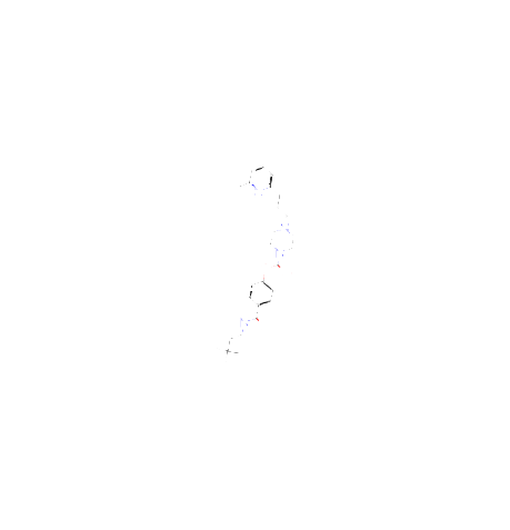 Cc1cccc(CCCN2CCN(C(=O)Oc3ccc(C(=O)NCCC(C)(C)C)cc3)CC2)n1